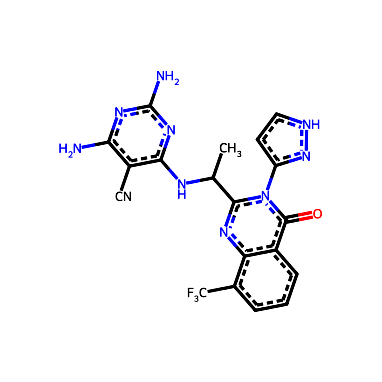 CC(Nc1nc(N)nc(N)c1C#N)c1nc2c(C(F)(F)F)cccc2c(=O)n1-c1cc[nH]n1